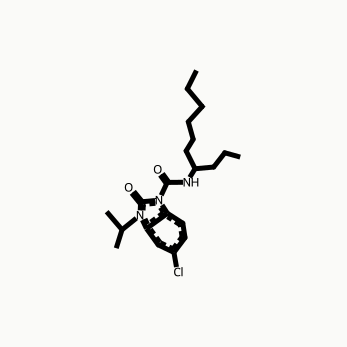 CCCCCCC(CCC)NC(=O)n1c(=O)n(C(C)C)c2cc(Cl)ccc21